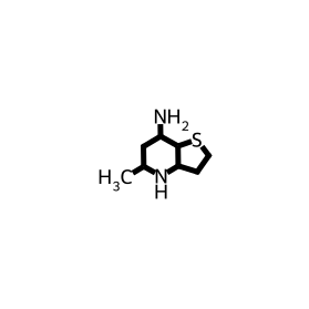 CC1CC(N)C2SCCC2N1